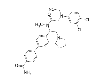 CN(C(=O)CN(CC#N)c1ccc(Cl)c(Cl)c1)C(CN1CCCC1)c1ccc(-c2ccc(C(N)=O)cc2)cc1